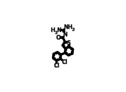 NC(N)=NC(=O)c1cc2c(-c3cccc(Cl)c3Cl)cccc2s1